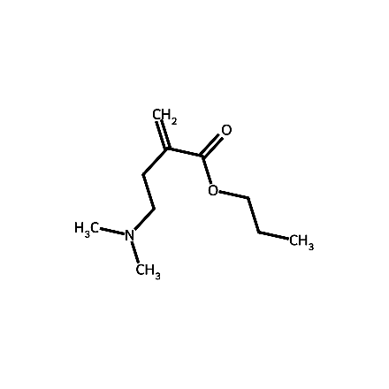 C=C(CCN(C)C)C(=O)OCCC